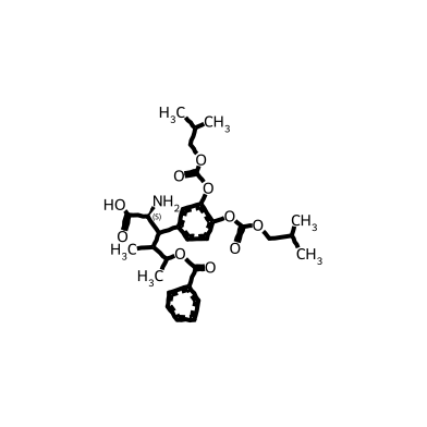 CC(C)COC(=O)Oc1ccc(C(C(C)C(C)OC(=O)c2ccccc2)[C@H](N)C(=O)O)cc1OC(=O)OCC(C)C